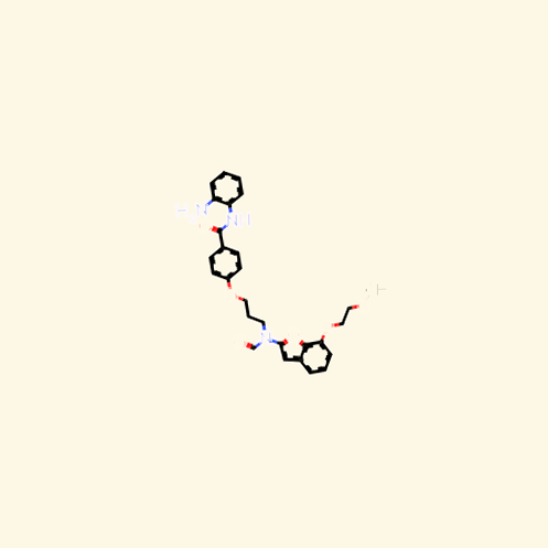 COCCOc1cccc2cc(N(C=O)CCCOc3ccc(C(=O)Nc4ccccc4N)cc3)oc12